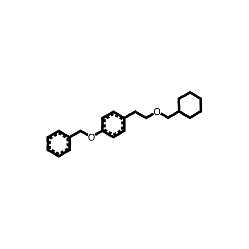 c1ccc(COc2ccc(CCOCC3CCCCC3)cc2)cc1